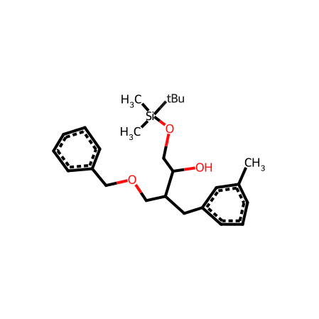 Cc1cccc(CC(COCc2ccccc2)C(O)CO[Si](C)(C)C(C)(C)C)c1